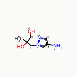 CC(O)(CO)Cn1cc(N)cn1